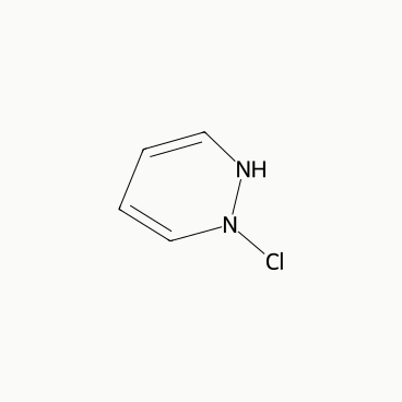 ClN1C=CC=CN1